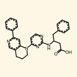 O=C(O)CC(Cc1ccccc1)Nc1nccc(N2CCCc3cnc(-c4ccccc4)cc32)n1